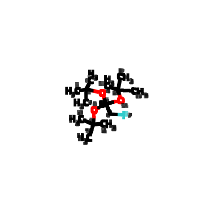 CC(C)(C)[O][Sn]([CH2]F)([O]C(C)(C)C)[O]C(C)(C)C